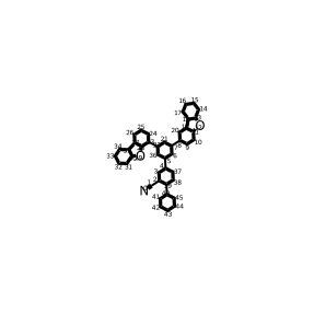 N#Cc1cc(-c2cc(-c3ccc4oc5ccccc5c4c3)cc(-c3cccc4c3oc3ccccc34)c2)ccc1-c1ccccc1